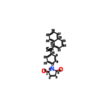 O=C1C=CC(=O)N1c1ccc([Se]c2cccc3ccccc23)cc1